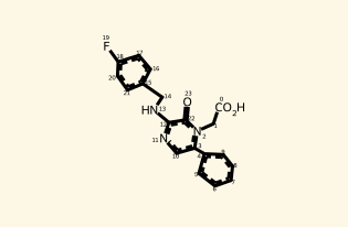 O=C(O)Cn1c(-c2ccccc2)cnc(NCc2ccc(F)cc2)c1=O